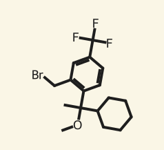 COC(C)(c1ccc(C(F)(F)F)cc1CBr)C1CCCCC1